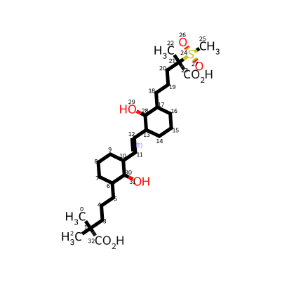 CC(C)(CCCC1CCCC(/C=C/C2CCCC(CCCC(C)(C(=O)O)S(C)(=O)=O)C2O)C1O)C(=O)O